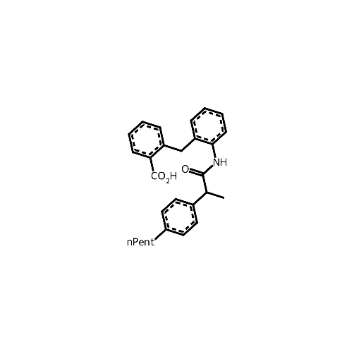 CCCCCc1ccc(C(C)C(=O)Nc2ccccc2Cc2ccccc2C(=O)O)cc1